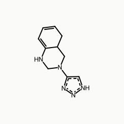 C1=CCC2CN(c3c[nH]nn3)CNC2=C1